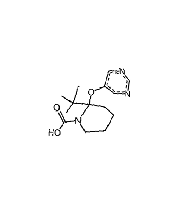 CC(C)(C)C1(Oc2cncnc2)CCCCN1C(=O)O